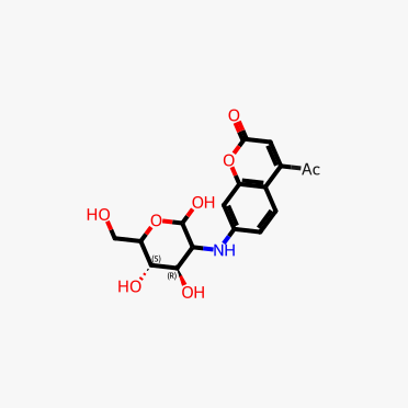 CC(=O)c1cc(=O)oc2cc(NC3C(O)OC(CO)[C@@H](O)[C@@H]3O)ccc12